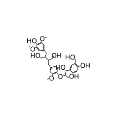 COc1cc(CC(CO)C(CO)Cc2cc(OC)c(O)c(OC)c2)ccc1OC(CO)C(O)c1ccc(O)c(CO)c1